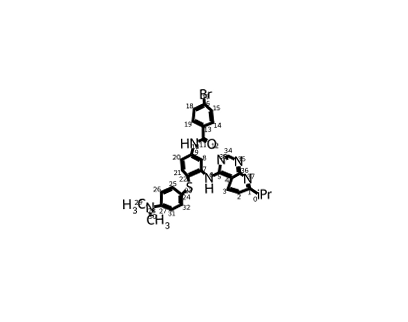 CC(C)c1ccc2c(Nc3cc(NC(=O)c4ccc(Br)cc4)ccc3Sc3ccc(N(C)C)cc3)ncnc2n1